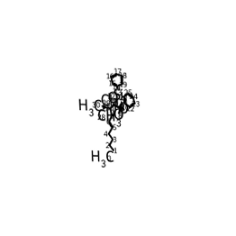 CCCCCC=CC1OC(=O)C(O[SiH](c2ccccc2)c2ccccc2)C1C(C)(C)C